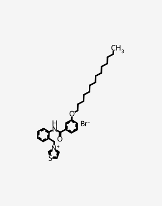 CCCCCCCCCCCCCCOc1cccc(C(=O)Nc2ccccc2C[n+]2ccsc2)c1.[Br-]